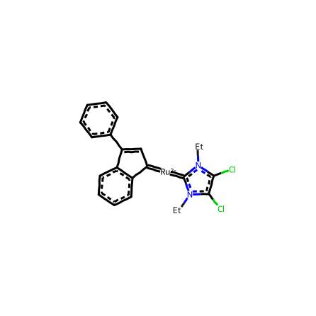 CCn1c(Cl)c(Cl)n(CC)[c]1=[Ru-2]=[C]1C=C(c2ccccc2)c2ccccc21